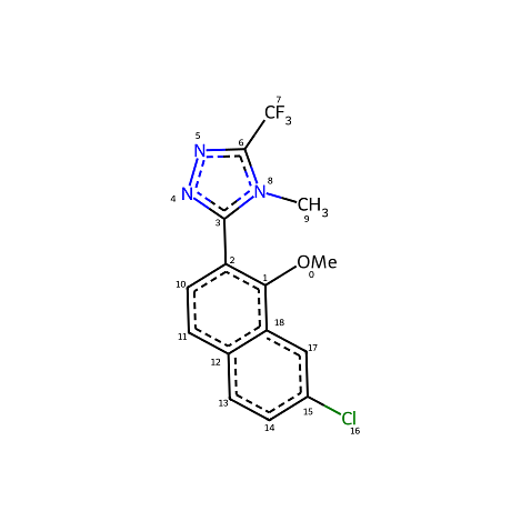 COc1c(-c2nnc(C(F)(F)F)n2C)ccc2ccc(Cl)cc12